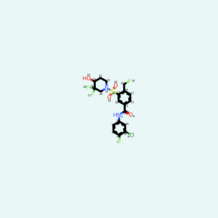 O=C(Nc1ccc(F)c(Cl)c1)c1ccc(CF)c(S(=O)(=O)N2CCC(O)C(F)(F)C2)c1